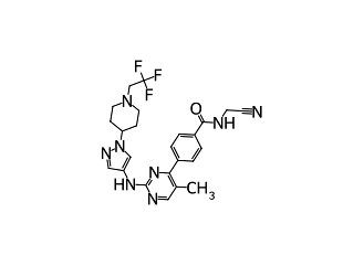 Cc1cnc(Nc2cnn(C3CCN(CC(F)(F)F)CC3)c2)nc1-c1ccc(C(=O)NCC#N)cc1